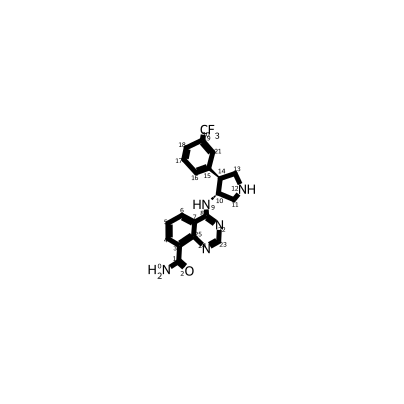 NC(=O)c1cccc2c(N[C@H]3CNC[C@@H]3c3cccc(C(F)(F)F)c3)ncnc12